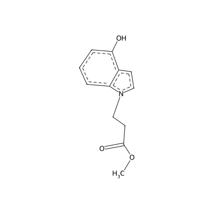 COC(=O)CCn1ccc2c(O)cccc21